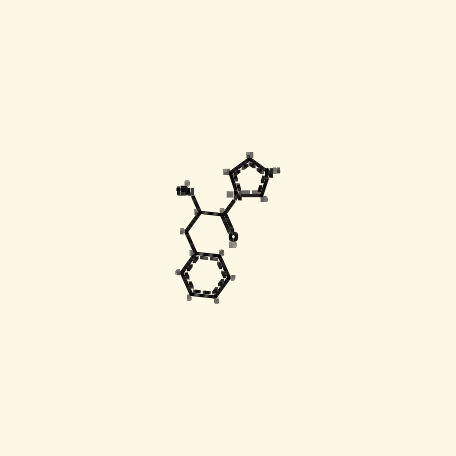 CC(C)(C)C(Cc1ccccc1)C(=O)n1ccnc1